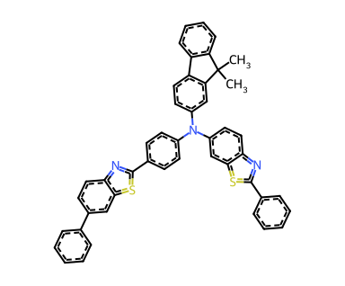 CC1(C)c2ccccc2-c2ccc(N(c3ccc(-c4nc5ccc(-c6ccccc6)cc5s4)cc3)c3ccc4nc(-c5ccccc5)sc4c3)cc21